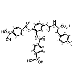 O=C(Cc1ccc(OC(=O)c2ccc(B(O)O)cc2)c(OC(=O)c2ccc(B(O)O)cc2)c1)N[C@@H](Cc1ccc(O)cc1)C(=O)O